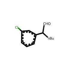 CCCCC(C=O)c1cccc(Cl)c1